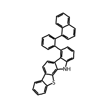 c1ccc(-c2cccc3[nH]c4c(ccc5c6ccccc6sc54)c23)c(-c2cccc3ccccc23)c1